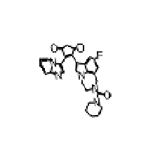 O=C1CC(=O)C(c2cnc3ccccn23)=C1c1cn2c3c(cc(F)cc13)CN(C(=O)N1CCCCC1)CC2